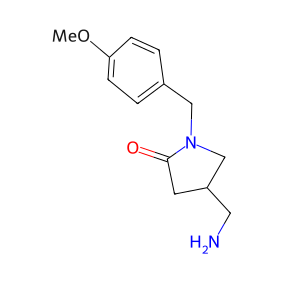 COc1ccc(CN2CC(CN)CC2=O)cc1